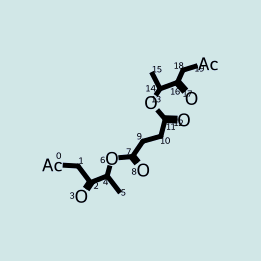 CC(=O)CC(=O)C(C)OC(=O)CCC(=O)OC(C)C(=O)CC(C)=O